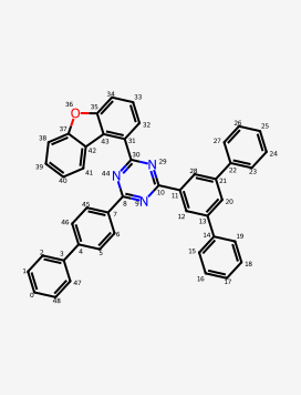 c1ccc(-c2ccc(-c3nc(-c4cc(-c5ccccc5)cc(-c5ccccc5)c4)nc(-c4cccc5oc6ccccc6c45)n3)cc2)cc1